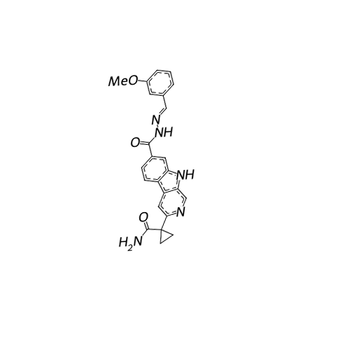 COc1cccc(C=NNC(=O)c2ccc3c(c2)[nH]c2cnc(C4(C(N)=O)CC4)cc23)c1